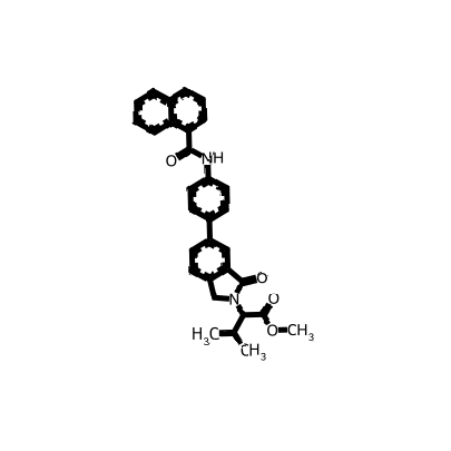 COC(=O)C(C(C)C)N1Cc2ccc(-c3ccc(NC(=O)c4cccc5ccccc45)cc3)cc2C1=O